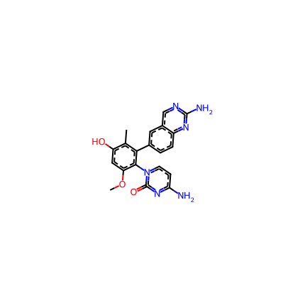 COc1cc(O)c(C)c(-c2ccc3nc(N)ncc3c2)c1-n1ccc(N)nc1=O